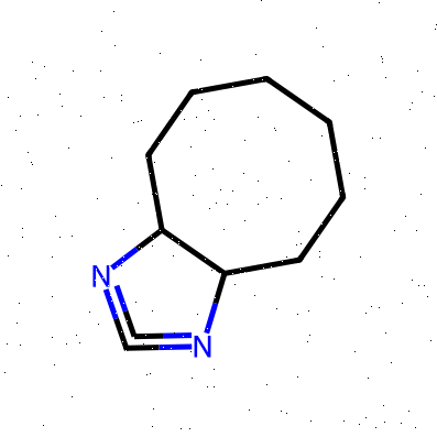 C1=NC2CCCCCCC2N=1